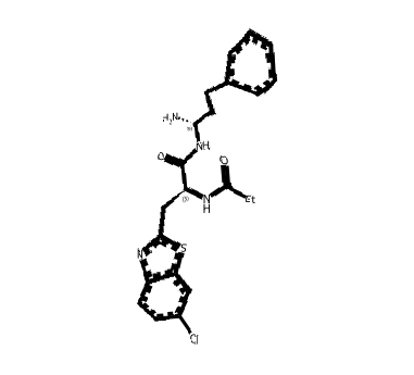 CCC(=O)N[C@@H](Cc1nc2ccc(Cl)cc2s1)C(=O)N[C@H](N)CCc1ccccc1